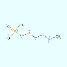 CNCCOCP(C)(C)=O